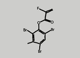 C=C(F)C(=O)Oc1c(Br)cc(Br)c(C)c1Br